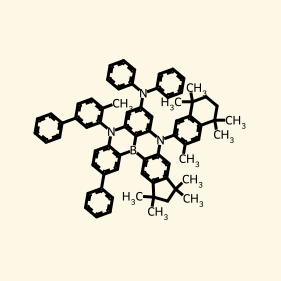 Cc1ccc(-c2ccccc2)cc1N1c2ccc(-c3ccccc3)cc2B2c3cc4c(cc3N(c3cc5c(cc3C)C(C)(C)CCC5(C)C)c3cc(N(c5ccccc5)c5ccccc5)cc1c32)C(C)(C)CC4(C)C